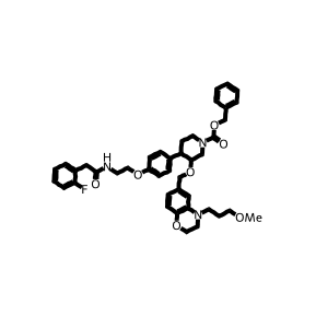 COCCCN1CCOc2ccc(COC3CN(C(=O)OCc4ccccc4)CCC3c3ccc(OCCNC(=O)Cc4ccccc4F)cc3)cc21